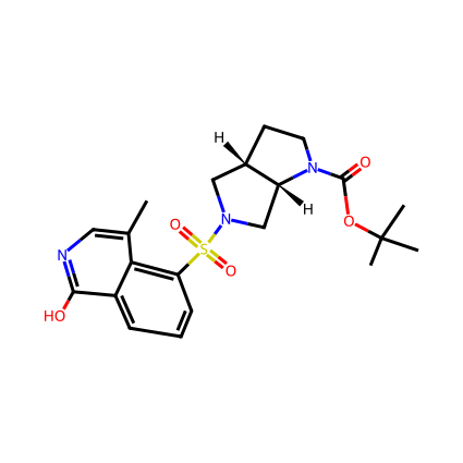 Cc1cnc(O)c2cccc(S(=O)(=O)N3C[C@@H]4CCN(C(=O)OC(C)(C)C)[C@@H]4C3)c12